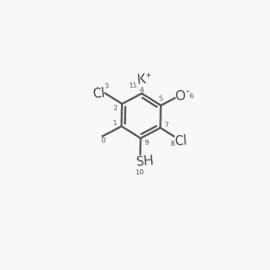 Cc1c(Cl)cc([O-])c(Cl)c1S.[K+]